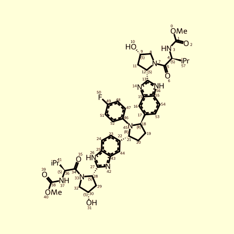 COC(=O)N[C@H](C(=O)N1C[C@@H](O)C[C@H]1c1nc2cc([C@H]3CC[C@H](c4ccc5[nH]c([C@@H]6C[C@H](O)CN6C(=O)[C@@H](NC(=O)OC)C(C)C)nc5c4)N3c3ccc(F)cc3)ccc2[nH]1)C(C)C